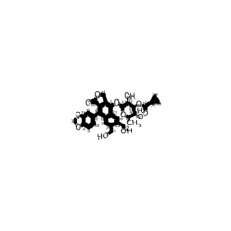 C[C@H]1OC(Oc2c3c(c(-c4ccc5c(c4)OCO5)c4cc(CO)c(CO)cc24)C(=O)OC3)[C@H](O)[C@@H](OC(=O)C2CC2)[C@@H]1O